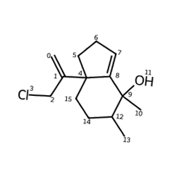 C=C(CCl)C12CCC=C1C(C)(O)C(C)CC2